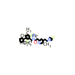 Cc1cnc([C@@H](CC(C)C)C(=O)N[C@@H](CC(=O)O)c2c(F)c(C)cc(-c3c(C)cccc3C)c2F)cc1CCN1CC(F)C1